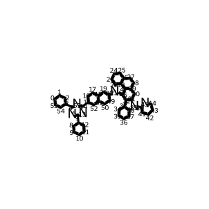 c1ccc(-c2nc(-c3ccccc3)nc(-c3ccc4cc(-n5c6cccc7ccc8cc9c(c%10ccccc%10n9-c9ccccn9)c5c8c76)ccc4c3)n2)cc1